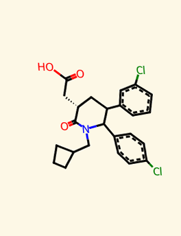 O=C(O)C[C@@H]1CC(c2cccc(Cl)c2)C(c2ccc(Cl)cc2)N(CC2CCC2)C1=O